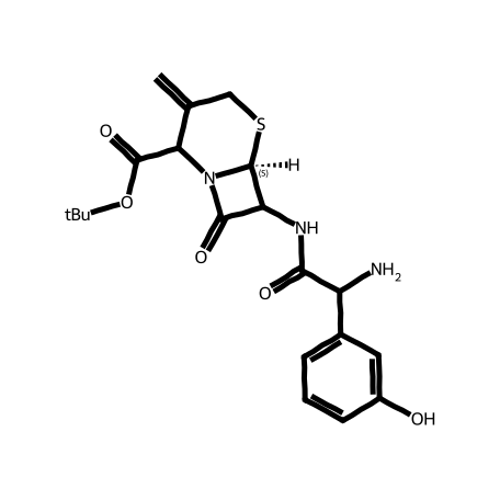 C=C1CS[C@H]2C(NC(=O)C(N)c3cccc(O)c3)C(=O)N2C1C(=O)OC(C)(C)C